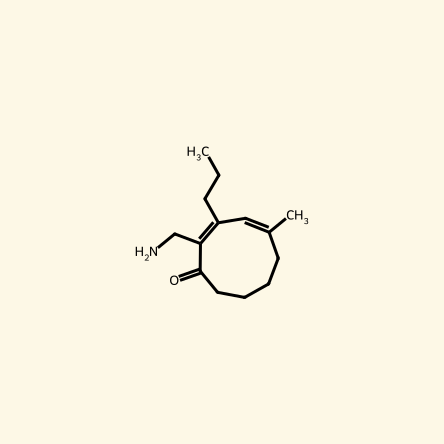 CCCC1=C(\CN)C(=O)CCCC/C(C)=C\1